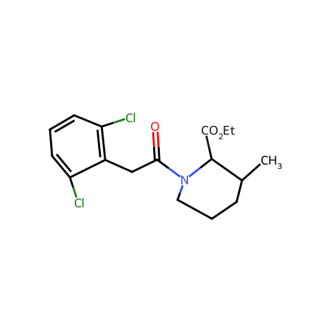 CCOC(=O)C1C(C)CCCN1C(=O)Cc1c(Cl)cccc1Cl